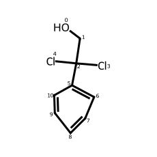 OCC(Cl)(Cl)c1ccccc1